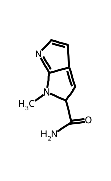 CN1C2=NC=CC2=CC1C(N)=O